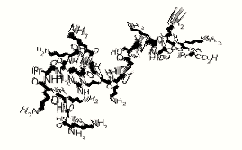 CC[C@H](C)[C@H](NC(=O)[C@H](CCCCN)NC(=O)[C@H](CO)NC(=O)CNC(=O)[C@H](CCCCN)NC(=O)[C@H](CCCNC(=N)N)NC(=O)CNC(=O)[C@H](CCCCN)NC(=O)[C@H](CCCCN)NC(=O)[C@H](CCCCN)NC(=O)[C@@H](NC(=O)[C@H](CCCCN)NC(=O)[C@H](CCCCN)NC(=O)[C@@H](NC(=O)[C@@H](N)CCCCN)[C@@H](C)CC)C(C)C)C(=O)N[C@@H](CCCCN)C(=O)N[C@@H](CCCCN)C(=O)N[C@H](C(=O)O)C(C)C